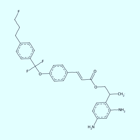 [CH2]C(COC(=O)/C=C/c1ccc(OC(F)(F)c2ccc(CCCF)cc2)cc1)c1ccc(N)cc1N